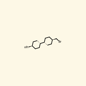 CCC[C@H]1CC[C@H]([C@H]2CC[C@H](CBr)CC2)CC1